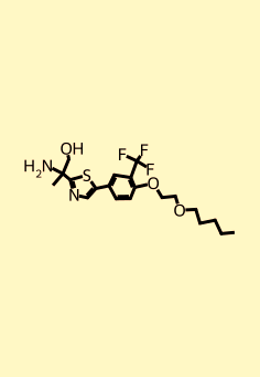 CCCCCOCCOc1ccc(-c2cnc(C(C)(N)CO)s2)cc1C(F)(F)F